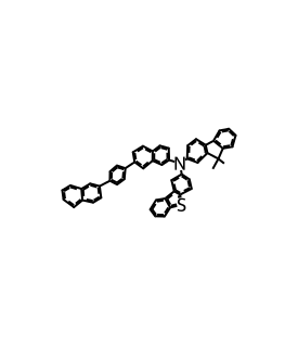 CC1(C)c2ccccc2-c2ccc(N(c3ccc4ccc(-c5ccc(-c6ccc7ccccc7c6)cc5)cc4c3)c3ccc4sc5ccccc5c4c3)cc21